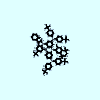 Cc1cc2c(cc1N1c3cc(N(c4ccc(C(C)(C)C)cc4)c4ccc(C(C)(C)C)cc4)ccc3B3c4c1cc(N(c1ccc(C(C)(C)C)cc1)c1ccc(C(C)(C)C)cc1)cc4-n1c4sc5ccccc5c4c4cc(C(C)(C)C)cc3c41)C(C)(C)CCC2(C)C